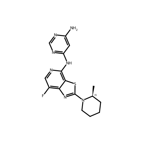 C[C@H]1CCCCN1c1nc2c(F)cnc(Nc3cc(N)ncn3)c2s1